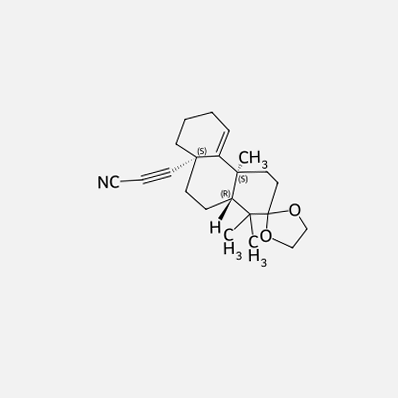 CC1(C)[C@@H]2CC[C@@]3(C#CC#N)CCCC=C3[C@@]2(C)CCC12OCCO2